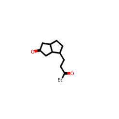 CCC(=O)CCC1CCC2CC(=O)CC12